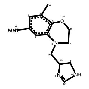 CNc1cc(C)c2c(c1)N(CC1CNC=N1)CCO2